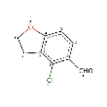 O=Cc1ccc2c(c1Cl)CCO2